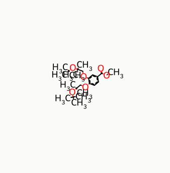 COC(=O)c1ccc(OCC(C)(C)OC(C)(C)C)c(OCC(C)(C)OC(C)(C)C)c1